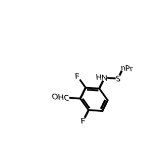 CCCSNc1ccc(F)c(C=O)c1F